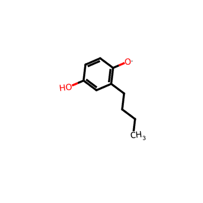 CCCCc1cc(O)ccc1[O]